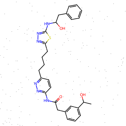 CC(O)c1cccc(CC(=O)Nc2ccc(CCCCc3nnc(NC(O)Cc4ccccc4)s3)nn2)c1